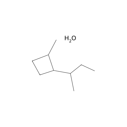 CCC(C)C1CCC1C.O